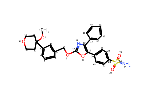 COC1(c2cccc(COc3nc(-c4ccccc4)c(-c4ccc(S(N)(=O)=O)cc4)o3)c2)CCOCC1